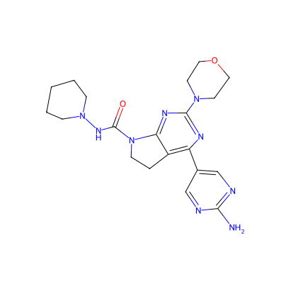 Nc1ncc(-c2nc(N3CCOCC3)nc3c2CCN3C(=O)NN2CCCCC2)cn1